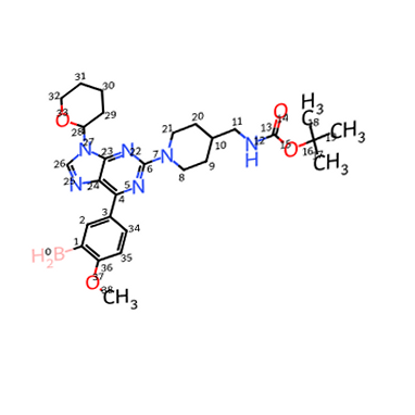 Bc1cc(-c2nc(N3CCC(CNC(=O)OC(C)(C)C)CC3)nc3c2ncn3C2CCCCO2)ccc1OC